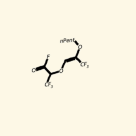 CCCCCOC(=COC(C(=O)F)C(F)(F)F)C(F)(F)F